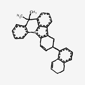 CC1(C)c2ccccc2-n2c3c(c4cccc1c42)CC(c1cccc2c1C=CCC2)C=C3